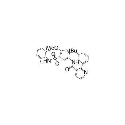 COc1ccc(NC(=O)c2cccnc2-c2cccc(C(C)(C)C)c2)cc1S(=O)(=O)Nc1c(C)cccc1C